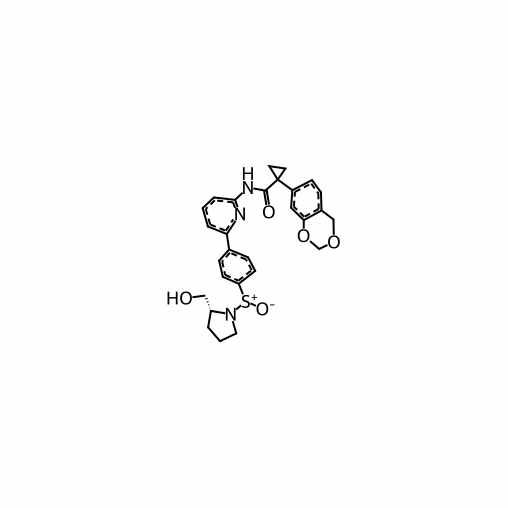 O=C(Nc1cccc(-c2ccc([S+]([O-])N3CCC[C@@H]3CO)cc2)n1)C1(c2ccc3c(c2)OCOC3)CC1